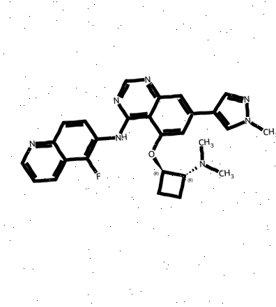 CN(C)[C@@H]1CC[C@H]1Oc1cc(-c2cnn(C)c2)cc2ncnc(Nc3ccc4ncccc4c3F)c12